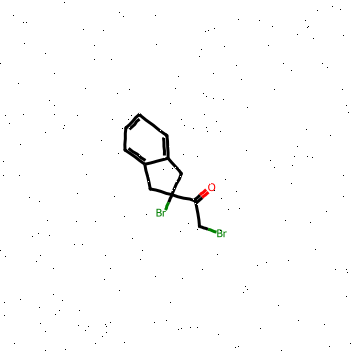 O=C(CBr)C1(Br)Cc2ccccc2C1